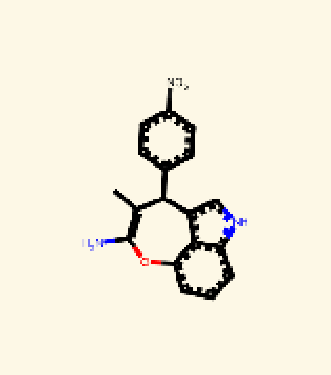 CC1=C(N)Oc2cccc3[nH]cc(c23)C1c1ccc([N+](=O)[O-])cc1